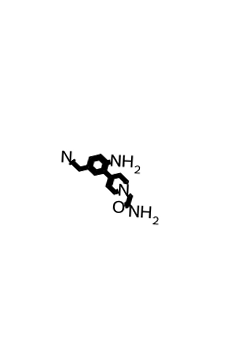 N#CCc1ccc(N)c(C2=CCN(CC(N)=O)CC2)c1